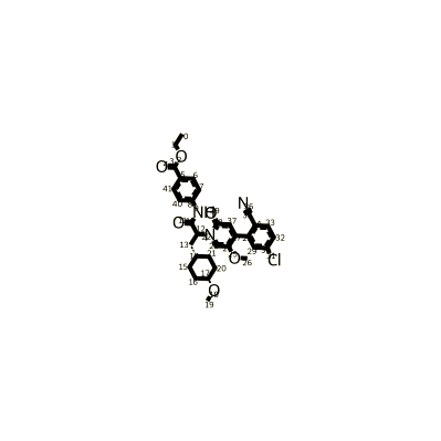 CCOC(=O)c1ccc(NC(=O)C(C[C@H]2CC[C@@H](OC)CC2)n2cc(OC)c(-c3cc(Cl)ccc3C#N)cc2=O)cc1